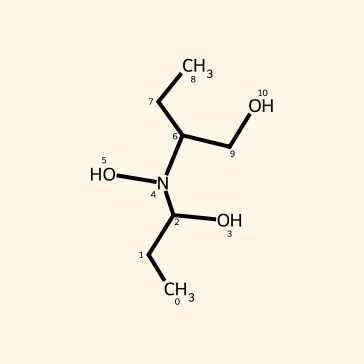 CCC(O)N(O)C(CC)CO